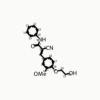 COc1cc(/C=C(\C#N)C(=O)Nc2ccccc2)ccc1OCCO